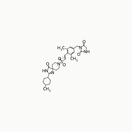 Cc1cc(CN2C(=O)CNC2=O)cc(C)c1/C=C/S(=O)(=O)N1CCC2(CC1)N=C(C1CCC(C)CC1)NC2=O